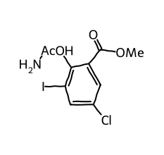 CC(N)=O.COC(=O)c1cc(Cl)cc(I)c1O